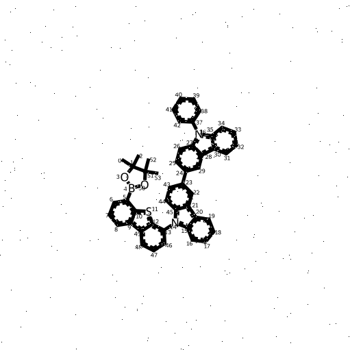 CC1(C)OB(c2cccc3c2sc2c(-n4c5ccccc5c5cc(-c6ccc7c(c6)c6ccccc6n7-c6ccccc6)ccc54)cccc23)OC1(C)C